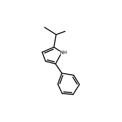 CC(C)c1ccc(-c2ccccc2)[nH]1